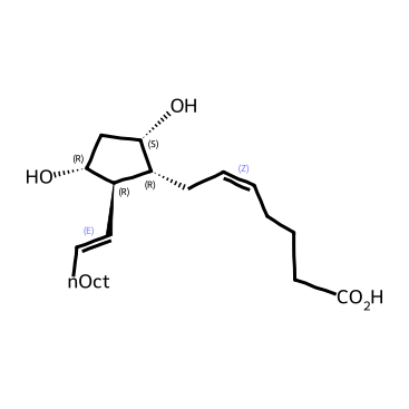 CCCCCCCC/C=C/[C@@H]1[C@@H](C/C=C\CCCC(=O)O)[C@@H](O)C[C@H]1O